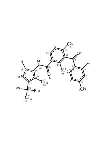 Cc1cc(C#N)ccc1C(=O)c1c(C#N)ccc(C(=O)Nc2c(C(F)(F)F)c(C(F)(F)C(F)(F)F)nn2C)c1N